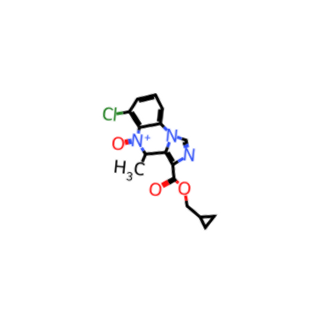 CC1c2c(C(=O)OCC3CC3)ncn2-c2cccc(Cl)c2[N+]1=O